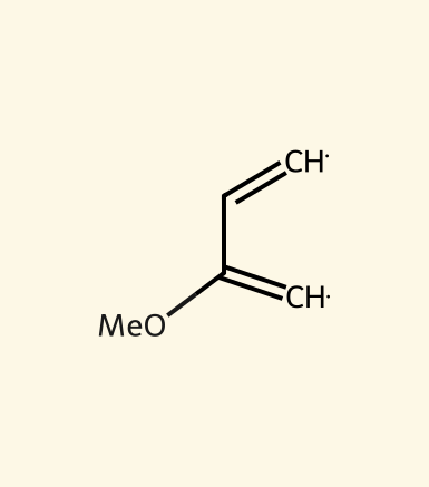 [CH]=CC(=[CH])OC